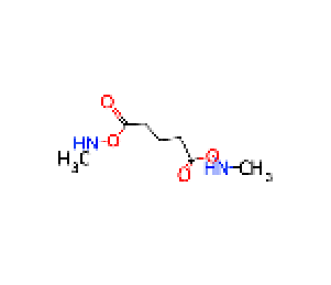 CNOC(=O)CCCC(=O)ONC